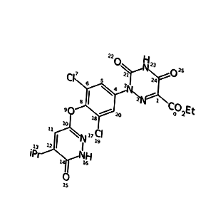 CCOC(=O)c1nn(-c2cc(Cl)c(Oc3cc(C(C)C)c(=O)[nH]n3)c(Cl)c2)c(=O)[nH]c1=O